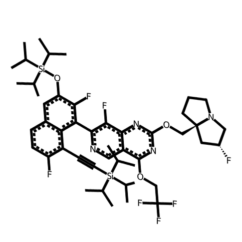 CC(C)[Si](C#Cc1c(F)ccc2cc(O[Si](C(C)C)(C(C)C)C(C)C)c(F)c(-c3ncc4c(OCC(F)(F)F)nc(OC[C@@]56CCCN5C[C@H](F)C6)nc4c3F)c12)(C(C)C)C(C)C